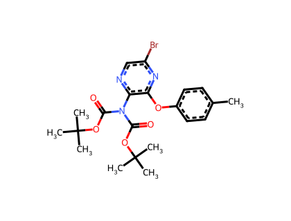 Cc1ccc(Oc2nc(Br)cnc2N(C(=O)OC(C)(C)C)C(=O)OC(C)(C)C)cc1